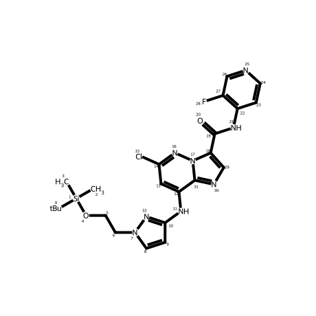 CC(C)(C)[Si](C)(C)OCCn1ccc(Nc2cc(Cl)nn3c(C(=O)Nc4ccncc4F)cnc23)n1